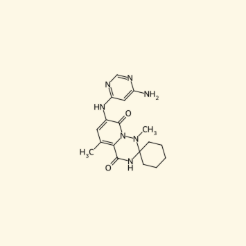 Cc1cc(Nc2cc(N)ncn2)c(=O)n2c1C(=O)NC1(CCCCC1)N2C